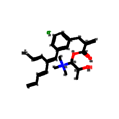 C=CC=CC(C=CC#N)=Cc1cccc(CC(=C)C(=O)OC(C(C)O)[N+](C)(C)C)c1.[Cl-]